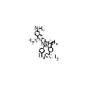 CC(C)c1ccc(F)c(N2C(c3ccccc3)N=C(Cc3cc4cc(N)ccc4c(N)n3)N2C)c1